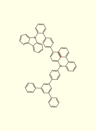 c1ccc(-c2cc(-c3ccccc3)cc(-c3ccc(N(c4ccc(-c5ccc(-c6ccccc6-n6c7ccccc7c7ccccc76)cc5)cc4)c4ccccc4-c4ccccc4)cc3)c2)cc1